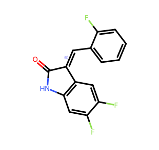 O=C1Nc2cc(F)c(F)cc2/C1=C\c1ccccc1F